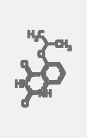 CC(C)Oc1cccc2[nH]c(=O)[nH]c(=O)c12